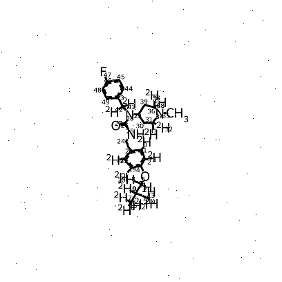 [2H]c1c([2H])c(OC([2H])([2H])C([2H])(C([2H])([2H])[2H])C([2H])([2H])[2H])c([2H])c([2H])c1CNC(=O)N(C1CC([2H])([2H])N(C)C([2H])([2H])C1)C([2H])([2H])c1ccc(F)cc1